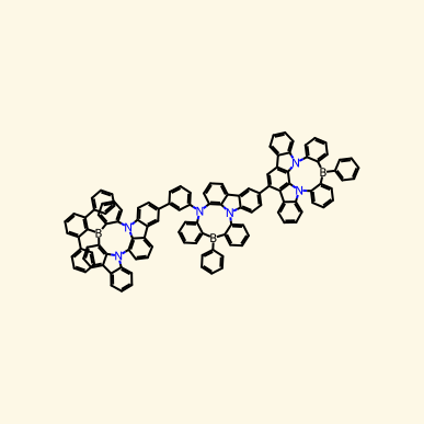 c1ccc(B2c3ccccc3N(c3cccc(-c4ccc5c(c4)c4cccc6c4n5-c4ccccc4B(c4c(-c5ccccc5)cccc4-c4ccccc4)c4cccc5c7ccccc7n-6c45)c3)c3cccc4c5cc(-c6cc7c8ccccc8n8c7c7c6c6ccccc6n7-c6ccccc6B(c6ccccc6)c6ccccc6-8)ccc5n(c34)-c3ccccc32)cc1